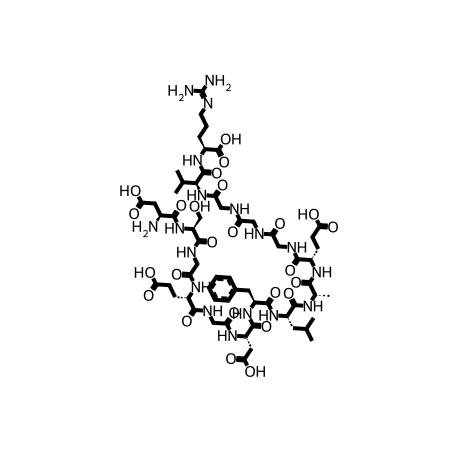 CC(C)C[C@H](NC(=O)[C@H](Cc1ccccc1)NC(=O)[C@H](CC(=O)O)NC(=O)CNC(=O)[C@H](CCC(=O)O)NC(=O)CNC(=O)[C@H](CO)NC(=O)[C@@H](N)CC(=O)O)C(=O)N[C@@H](C)C(=O)N[C@@H](CCC(=O)O)C(=O)NCC(=O)NCC(=O)NCC(=O)N[C@H](C(=O)N[C@@H](CCCN=C(N)N)C(=O)O)C(C)C